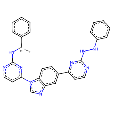 C[C@H](Nc1nccc(-n2cnc3cc(-c4ccnc(NNc5ccccc5)n4)ccc32)n1)c1ccccc1